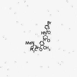 CNC(=O)CN(C)C(=O)c1ccc(N2CC(NC(=O)c3ccc(Br)s3)CC2=O)cc1C